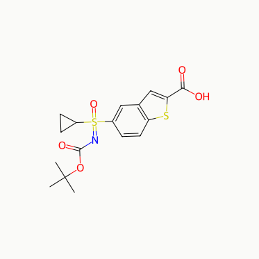 CC(C)(C)OC(=O)N=S(=O)(c1ccc2sc(C(=O)O)cc2c1)C1CC1